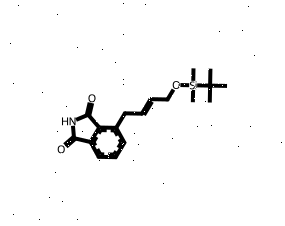 CC(C)(C)[Si](C)(C)OCC=CCc1cccc2c1C(=O)NC2=O